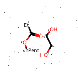 CCCCCOC(=O)CC.OCCO